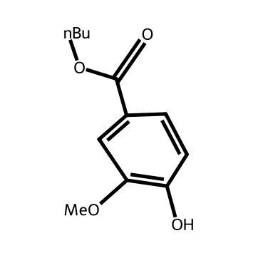 CCCCOC(=O)c1ccc(O)c(OC)c1